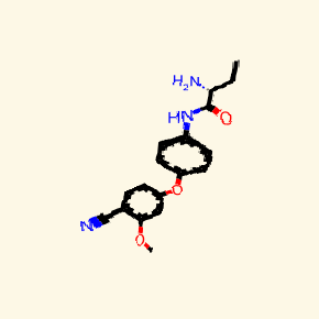 CC[C@@H](N)C(=O)Nc1ccc(Oc2ccc(C#N)c(OC)c2)cc1